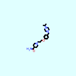 CC(C)N1CCN(Cc2ccc(OCCCN3CCC(C(N)=O)CC3)cc2)CC1